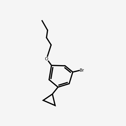 CCCCOc1cc(Br)cc(C2CC2)c1